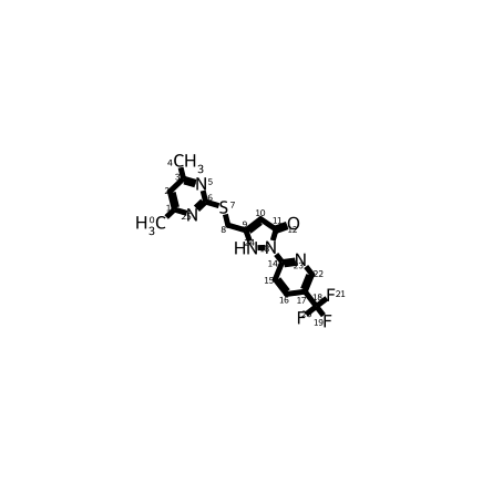 Cc1cc(C)nc(SCc2cc(=O)n(-c3ccc(C(F)(F)F)cn3)[nH]2)n1